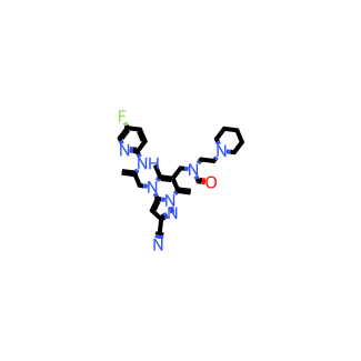 C=C(CN1C(C)=C(CN(C=O)CCN2CCCCC2)C(=C)n2nc(C#N)cc21)Nc1ccc(F)cn1